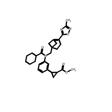 COC(=O)C1CC1c1cccc(N(CC23CCC(c4nc(C)no4)=C(C2)C3)C(=O)C2CCCCC2)c1